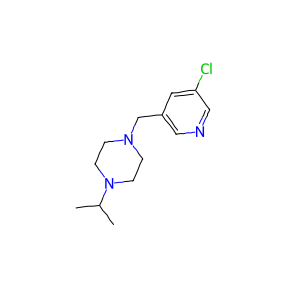 CC(C)N1CCN(Cc2cncc(Cl)c2)CC1